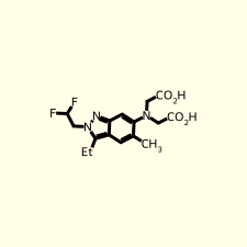 CCc1c2cc(C)c(N(CC(=O)O)CC(=O)O)cc2nn1CC(F)F